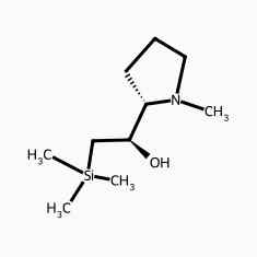 CN1CCC[C@H]1[C@@H](O)C[Si](C)(C)C